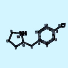 Clc1ccc(CC2CCCN2)cc1